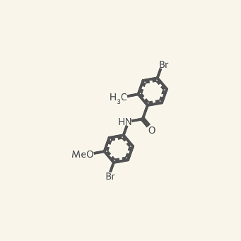 COc1cc(NC(=O)c2ccc(Br)cc2C)ccc1Br